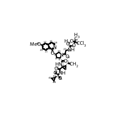 C=C[C@@H]1C[C@]1(NC(=O)[C@@H]1C[C@@H](Oc2nccc3cc(OC)ccc23)CN1C(=O)CNC(=O)OC(C)(C)C(Cl)(Cl)Cl)C(=O)NS(=O)(=O)C1CC1